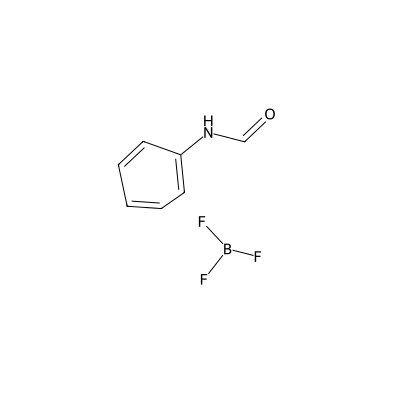 FB(F)F.O=CNc1ccccc1